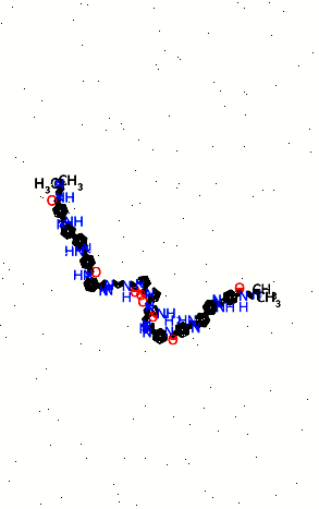 CN(C)CCNC(=O)c1ccc(-c2nc3ccc(-c4ccc5nc(-c6ccc(C(=O)Nc7cccc(-c8cn(CCCNCC(=O)N9CCCC9C(=O)N9CCC[C@H]9C(=O)N(CCCn9cc(-c%10cccc(NC(=O)c%11ccc(-c%12nc%13ccc(-c%14ccc%15nc(-c%16ccc(C(=O)NCCN(C)C)cc%16)[nH]c%15c%14)cc%13[nH]%12)cc%11)c%10)nn9)CC(N)=O)nn8)c7)cc6)[nH]c5c4)cc3[nH]2)cc1